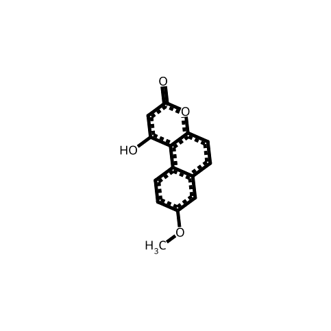 COc1ccc2c(ccc3oc(=O)cc(O)c32)c1